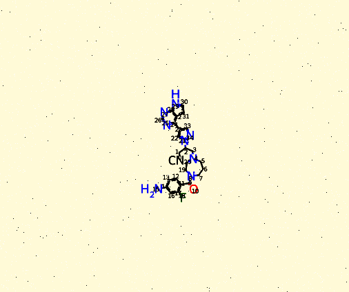 N#CCC(CN1CCCN(C(=O)c2ccc(N)cc2F)CC1)n1cc(-c2ncnc3[nH]ccc23)cn1